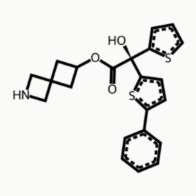 O=C(OC1CC2(CNC2)C1)[C@](O)(c1cccs1)c1ccc(-c2ccccc2)s1